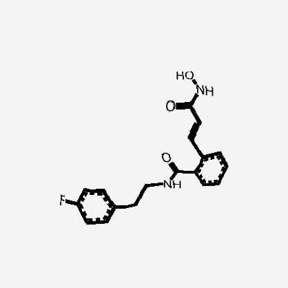 O=C(/C=C/c1ccccc1C(=O)NCCc1ccc(F)cc1)NO